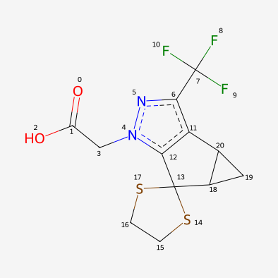 O=C(O)Cn1nc(C(F)(F)F)c2c1C1(SCCS1)C1CC21